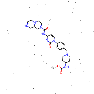 CC(C)(C)OC(=O)NC1CCN(Cc2ccc(-n3ccc(NC(=O)N4CCN5CCNCC5C4)nc3=O)cc2)CC1